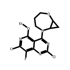 CCOc1nc(Cl)c(F)c2nc(Cl)nc(N3CCCOC4CC43)c12